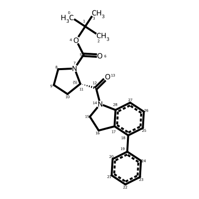 CC(C)(C)OC(=O)N1CCC[C@H]1C(=O)N1CCc2c(-c3ccccc3)cccc21